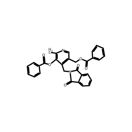 Cc1ncc(COC(=O)c2ccccc2)c(CN2C(=O)c3ccccc3C2=O)c1OC(=O)c1ccccc1